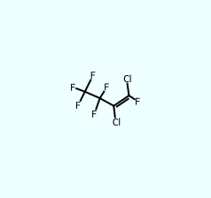 FC(Cl)=C(Cl)C(F)(F)C(F)(F)F